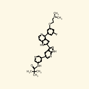 CN(C)CCOc1cc(F)cc(-c2nccc3[nH]c(-c4n[nH]c5ncc(-c6cncc(NC(=O)C(C)(C)C)c6)cc45)cc23)c1